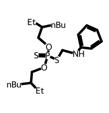 CCCCC(CC)COP(=S)(OCC(CC)CCCC)SCNc1ccccc1